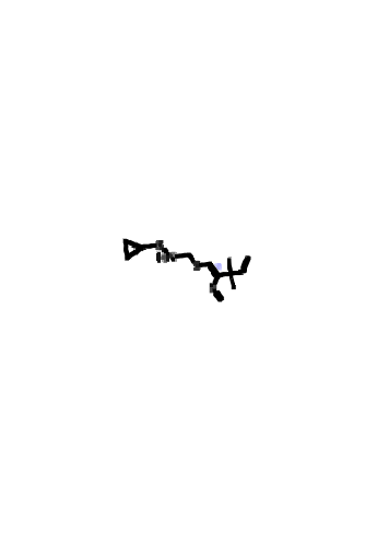 C=CC(C)(C)/C(=C/SCNSC1CC1)N=C